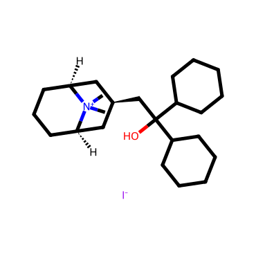 C[N+]1(C)[C@@H]2CCC[C@H]1C[C@@H](CC(O)(C1CCCCC1)C1CCCCC1)C2.[I-]